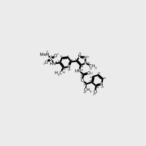 CNS(=O)(=O)Nc1ccc(-c2nnn(C)c2NC(=O)O[C@H](C)c2cccnc2Cl)nc1C